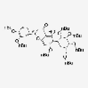 CCCCOCC1CC(c2c(OCCCC)cc3c(c2O)C(=O)C[C@H](c2ccc(OCCCC)c(OCCCC)c2)O3)C(OCCCC)C(OCCCC)C1OCCCC